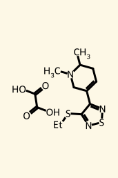 CCSc1nsnc1C1=CCC(C)N(C)C1.O=C(O)C(=O)O